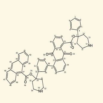 O=C(OC1(c2ccccc2)CCNCC1)c1cccc2c1C(=O)c1cccc(-c3cccc(C4(OC(=O)c5c6ccccc6cc6ccccc56)CCNCC4)c3)c1C2=O